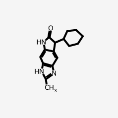 Cc1nc2cc3c(cc2[nH]1)NC(=O)C3C1CCCCC1